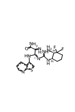 N=C(/N=C(/Nc1csc2ncccc12)C(=N)C(N)=O)N[C@@H]1CCCC(F)(F)[C@@H]1N